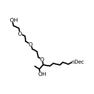 CCCCCCCCCCCCCCCC(OCCCOCCOCCO)C(C)O